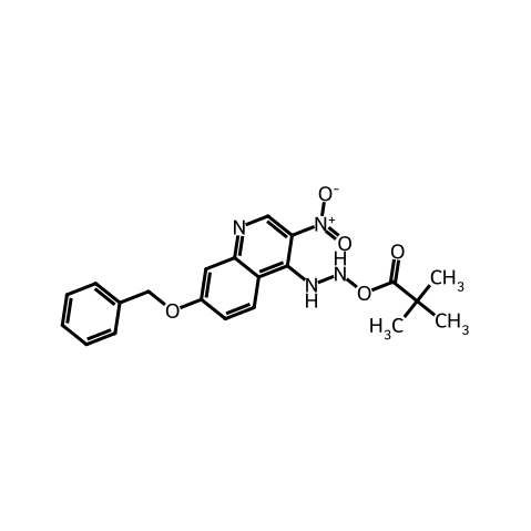 CC(C)(C)C(=O)ONNc1c([N+](=O)[O-])cnc2cc(OCc3ccccc3)ccc12